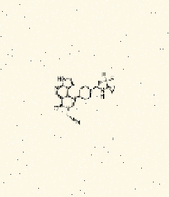 N#CCN1CN(C2CCC(CNC3(C(F)(F)F)CC3)CC2)c2c(cnc3[nH]ccc23)C1=O